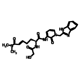 CN(C)C(=O)/C=C/CC[C@H](NC(=O)CO)C(=O)Nc1cccn(Cc2nc3ccccc3[nH]2)c1=O